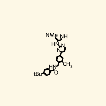 CN/C=C(\C=N)Nc1nccc(-c2ccc(CNC(=O)c3ccc(C(C)(C)C)cc3)c(C)c2)n1